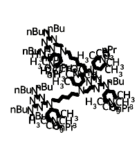 CCCCN(CCCC)c1nc(CN(CCCCCCN(c2nc(CN(CCCCCCN(c3nc(N(CCCC)CCCC)nc(N(CCCC)CCCC)n3)C3CC(C)(C)N(OCCC)C(C)(C)C3)C3CC(C)(C)N(OCCC)C(C)(C)C3)nc(N(CCCC)C3CC(C)(C)N(OCCC)C(C)(C)C3)n2)C2CC(C)(C)N(OCCC)C(C)(C)C2)C2CC(C)(C)N(OCCC)C(C)(C)C2)nc(N(CCCC)CCCC)n1